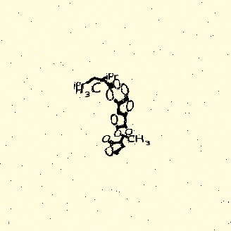 CC(C)CC(C)(C(=O)OC1C(=O)OC2C3OC(C)(C4CCOC4=O)OC3OC12)C(C)C